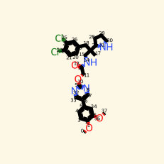 COc1ccc(-c2cnc(OCC(=O)NCC(C)(Cc3ccc(Cl)c(Cl)c3)C3CCCN3)nc2)cc1OC